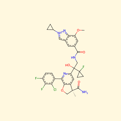 COc1cc(C(=O)NCC(O)(c2cc3c(c(-c4ccc(F)c(F)c4Cl)n2)OC[C@]3(C)C(N)=O)C2(F)CC2)cc2cn(C3CC3)nc12